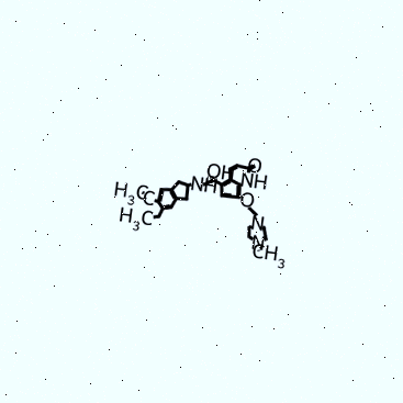 CCc1cc2c(cc1CC)CC(NC[C@@H](O)c1ccc(OCCN3CCN(C)CC3)c3[nH]c(=O)ccc13)C2